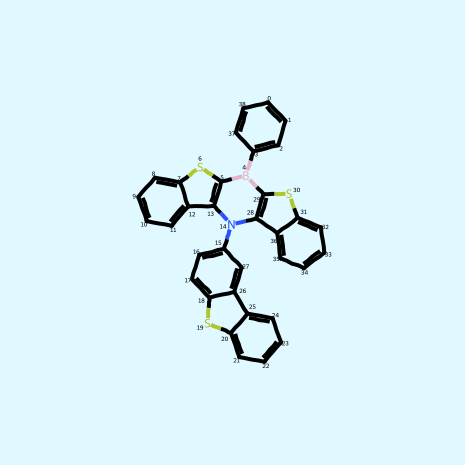 c1ccc(B2c3sc4ccccc4c3N(c3ccc4sc5ccccc5c4c3)c3c2sc2ccccc32)cc1